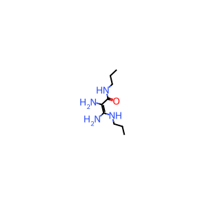 CCCNC(=O)/C(N)=C(/N)NCCC